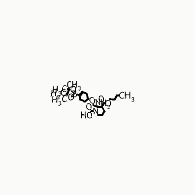 CCCCOC(=O)C1CCCN(C(=O)O)C1(N)COC1CC=C(B2OC(C)(C)C(C)(C)O2)CC1